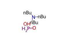 CCCCN(CCCC)CCCC.O=[PH2]O